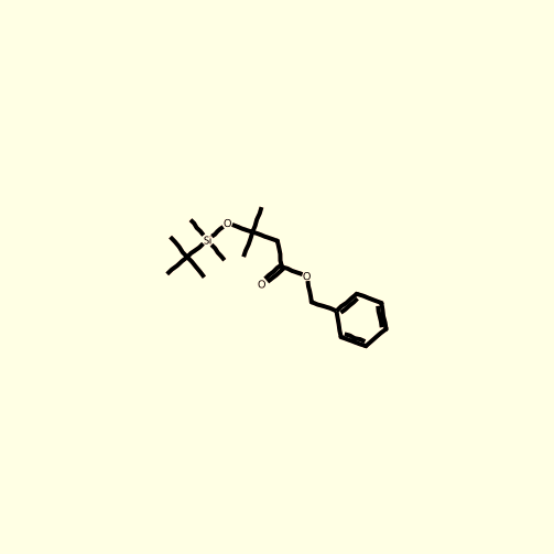 CC(C)(CC(=O)OCc1ccccc1)O[Si](C)(C)C(C)(C)C